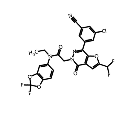 CCN(C(=O)Cn1nc(-c2cc(Cl)cc(C#N)c2)c2oc(C(F)F)cc2c1=O)c1ccc2c(c1)OC(F)(F)O2